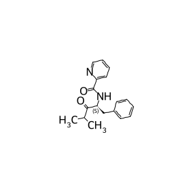 CC(C)C(=O)[C@H](Cc1ccccc1)NC(=O)c1ccccn1